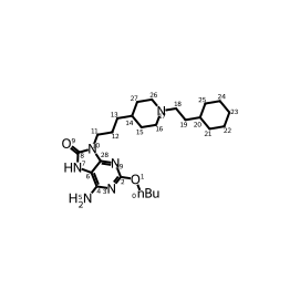 CCCCOc1nc(N)c2[nH]c(=O)n(CCCC3CCN(CCC4CCCCC4)CC3)c2n1